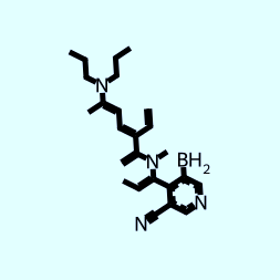 Bc1cncc(C#N)c1/C(=C/C)N(C)C(=C)/C(C=C)=C/C=C(\C)N(CCC)CCC